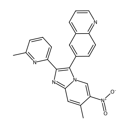 Cc1cccc(-c2nc3cc(C)c([N+](=O)[O-])cn3c2-c2ccc3ncccc3c2)n1